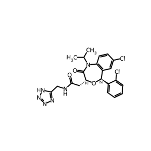 CC(C)N1C(=O)[C@@H](CC(=O)NCc2nnn[nH]2)O[C@H](c2ccccc2Cl)c2cc(Cl)ccc21